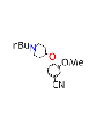 CCCCN1CCC(Oc2ccc(C#N)cc2OC)CC1